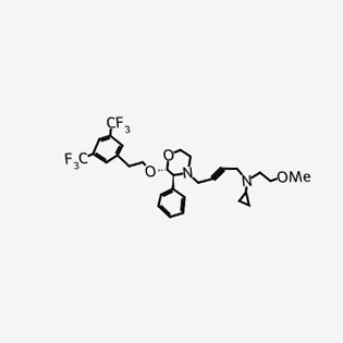 COCCN(CC#CCN1CCO[C@@H](OCCc2cc(C(F)(F)F)cc(C(F)(F)F)c2)[C@@H]1c1ccccc1)C1CC1